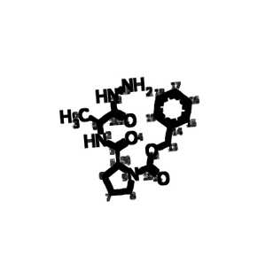 C[C@H](NC(=O)[C@@H]1CCCN1C(=O)OCc1ccccc1)C(=O)NN